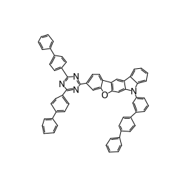 c1ccc(-c2ccc(-c3cccc(-n4c5ccccc5c5cc6c(cc54)oc4cc(-c5nc(-c7ccc(-c8ccccc8)cc7)nc(-c7ccc(-c8ccccc8)cc7)n5)ccc46)c3)cc2)cc1